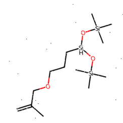 C=C(C)COCCC[SiH](O[Si](C)(C)C)O[Si](C)(C)C